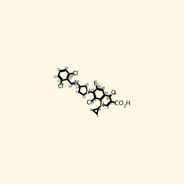 O=C(O)c1cn(C2CC2)c2c(Cl)c(N3CCC(/N=C/c4c(Cl)cccc4Cl)C3)c(F)cc2c1=O